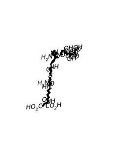 Nc1ncnc2c1c(C#CCNC(=O)CCSSCC(N)C(=O)NCCCCCC(=O)NC(CCC(=O)O)C(=O)O)cn2[C@H]1C[C@@H](O)[C@@H](COP(=O)(O)OP(=O)(O)OP(=O)(O)O)O1